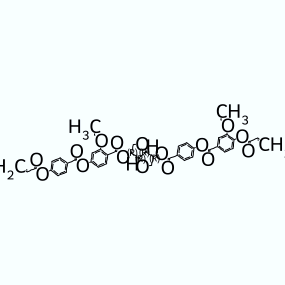 C=CC(=O)Oc1ccc(C(=O)Oc2ccc(C(=O)O[C@@H]3CO[C@H]4[C@@H]3OC[C@H]4OC(=O)c3ccc(OC(=O)c4ccc(OC(=O)C=C)c(OCC)c4)cc3)c(OCC)c2)cc1